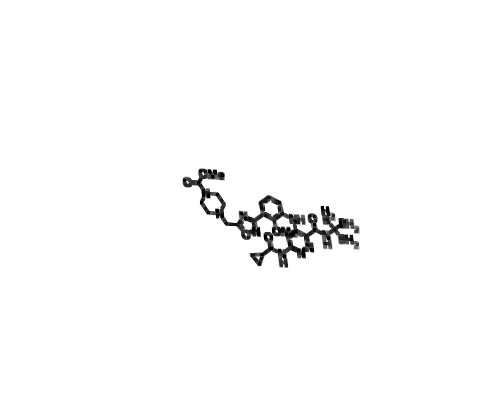 BC(B)(B)NC(=O)c1nnc(NC(=O)C2CC2)cc1Nc1cccc(-c2noc(CN3CCN(C(=O)OC)CC3)n2)c1OC